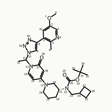 COc1cnc(C)c(-c2cn(C(C)n3ccc(N4CCC[C@@H](N(CC5CCC5)C(=O)OC(C)(C)C)C4)cc3=O)nn2)c1